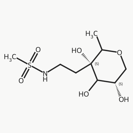 CC1OC[C@H](O)C(O)[C@@]1(O)CCNS(C)(=O)=O